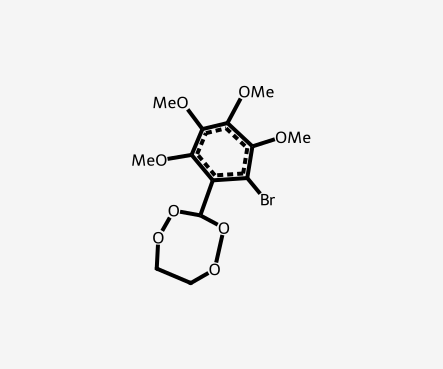 COc1c(Br)c(C2OOCCOO2)c(OC)c(OC)c1OC